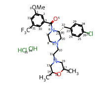 COc1cc(C(=O)N2CCN(CCN3CC(C)OC(C)C3)C[C@H]2Cc2ccc(Cl)cc2)cc(C(F)(F)F)c1.Cl.Cl